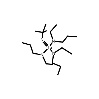 CCC[N](CC)[Ta](=[N]C(C)(C)C)([N](CC)CCC)[N](CC)CCC